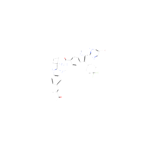 CC(=O)/C(C)=C/c1ccc2nc(C3(NC(=O)c4ccc5c(C6CCC(F)(F)CC6)c(-c6ncc(Br)cn6)n(C)c5c4)CCC3)n(C)c2c1